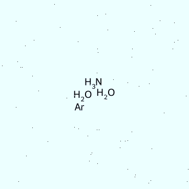 N.O.O.[Ar]